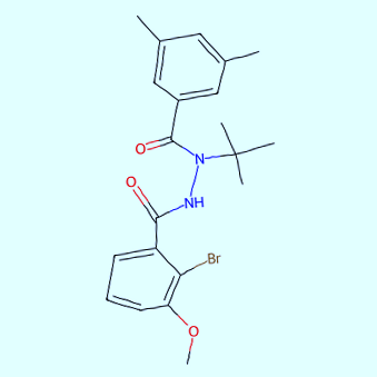 COc1cccc(C(=O)NN(C(=O)c2cc(C)cc(C)c2)C(C)(C)C)c1Br